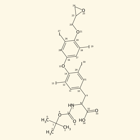 CC(C)(C)OC(=O)NC(Cc1cc(I)c(Oc2cc(I)c(OCC3CO3)c(I)c2)c(I)c1)C(=O)O